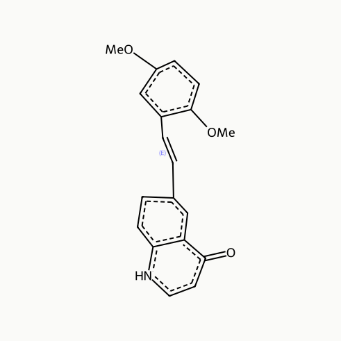 COc1ccc(OC)c(/C=C/c2ccc3[nH]ccc(=O)c3c2)c1